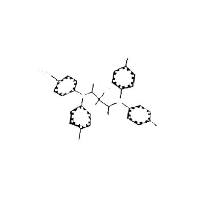 CCC(C)(C(C)P(c1ccc(C)cc1)c1ccc(C)cc1)C(C)P(c1ccc(C)cc1)c1ccc(C)cc1